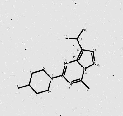 Cc1nc(N2CCC(C)CC2)nc2c(C(C)C)cnn12